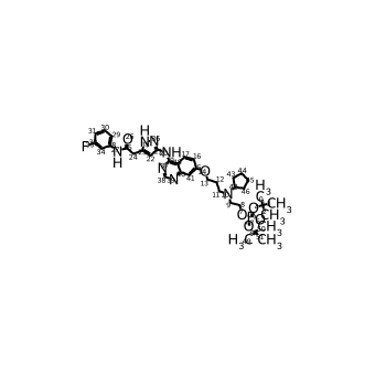 CC(C)(C)OP(=O)(OCCN(CCCOc1ccc2c(Nc3cc(CC(=O)Nc4cccc(F)c4)[nH]n3)ncnc2c1)C1CCCC1)OC(C)(C)C